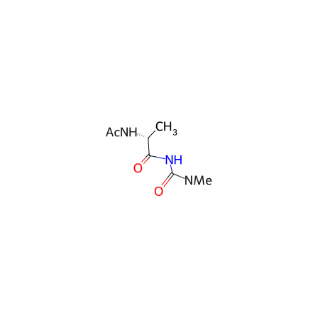 CNC(=O)NC(=O)[C@@H](C)NC(C)=O